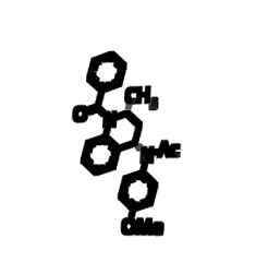 COc1ccc(N(C(C)=O)[C@H]2C[C@@H](C)N(C(=O)c3ccccc3)c3ccccc32)cc1